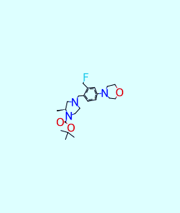 C[C@H]1CN(Cc2ccc(N3CCOCC3)cc2CF)CCN1C(=O)OC(C)(C)C